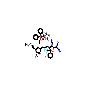 C/C=C/C1=C(SCCO[Si](c2ccccc2)(c2ccccc2)C(C)(C)C)C(=C/C=C/C2=C(C#N)C(=C(C#N)C#N)OC2(c2ccccc2)C(F)(F)F)/CC(C)(C)C1